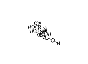 CSC1OC([C@H](NC(=O)[C@H]2NC[C@@H]3CC(c4ccc(C#N)cc4)=CCO[C@H]32)[C@H](C)Cl)C(O)C(O)C1O